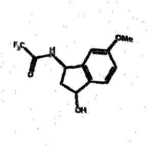 COc1ccc2c(c1)C(NC(=O)C(F)(F)F)CC2O